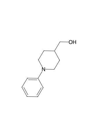 OCC1CCN(c2ccccc2)CC1